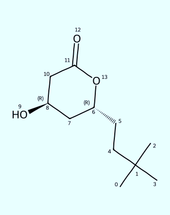 CC(C)(C)CC[C@@H]1C[C@@H](O)CC(=O)O1